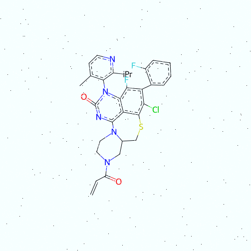 C=CC(=O)N1CCN2c3nc(=O)n(-c4c(C)ccnc4C(C)C)c4c(F)c(-c5ccccc5F)c(Cl)c(c34)SCC2C1